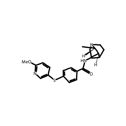 COc1ccc(Sc2ccc(C(=O)N[C@@H]3C4CCN(CC4)[C@H]3C)cc2)cn1